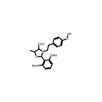 CCCOc1ccc(CCN2C(c3c(OC)cccc3OC)OC(C)C2C=O)cc1